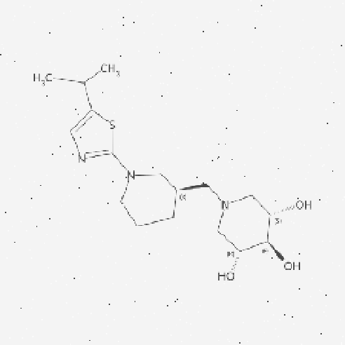 CC(C)c1cnc(N2CCC[C@H](CN3C[C@@H](O)[C@H](O)[C@@H](O)C3)C2)s1